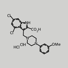 COc1cccc(N2CCN(Cc3c(C(=O)O)[nH]c4cc(Cl)cc(Cl)c34)CC2)c1.Cl.Cl